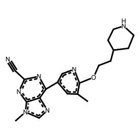 Cc1cc(-c2nc(C#N)nc3c2ncn3C)cnc1OCCC1CCNCC1